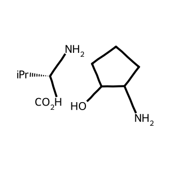 CC(C)[C@H](N)C(=O)O.NC1CCCC1O